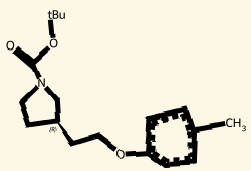 Cc1ccc(OCC[C@H]2CCN(C(=O)OC(C)(C)C)C2)cc1